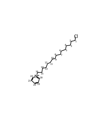 ClCCCCCCCCCCCCCCCC[n+]1ccccc1